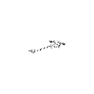 CO[C@H]1[C@H](C(C)(C)OC)[C@]2(CC[C@H]1OC(=O)/C=C/C=C/C=C/C=C/C(=O)O)CO2